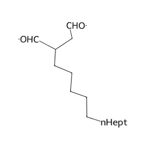 CCCCCCCCCCCCC([C]=O)C[C]=O